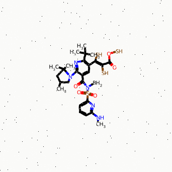 BN(C(=O)c1cc(/C(S)=C(\S)C(=O)OS)c(C(C)(C)C)nc1N1CC(C)CC1(C)C)S(=O)(=O)c1cccc(NC)n1